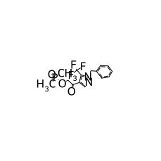 CP(C)(=O)OCC(=O)c1cnn(Cc2ccccc2)c1C(F)(F)F